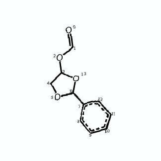 O=COC1COC(c2ccccc2)O1